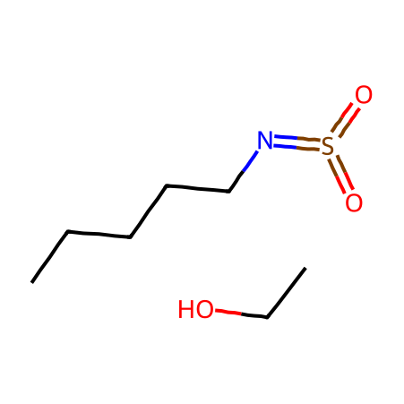 CCCCCN=S(=O)=O.CCO